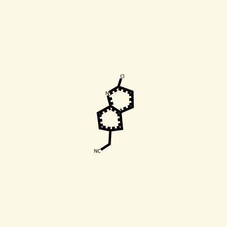 N#CCc1ccc2nc(Cl)ccc2c1